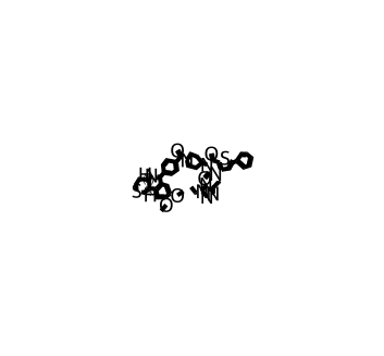 CCn1nnc(Cn2c(=O)n(C3CCN(C(=O)c4ccc(C5=N[C@@H]6CCSC[C@@H]6c6cc(OC)c(OC)cc65)cc4)CC3)c(=O)c3sc(-c4ccccc4)cc32)n1